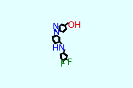 OCc1ccc2c(c1)ncn2-c1cccc(CNCc2ccc(F)c(F)c2)c1